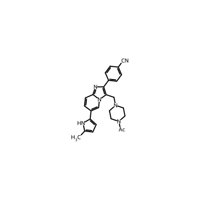 CC(=O)N1CCN(Cc2c(-c3ccc(C#N)cc3)nc3ccc(-c4ccc(C)[nH]4)cn23)CC1